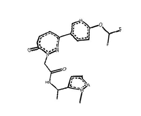 CC(NC(=O)Cn1nc(-c2ccc(OC(F)F)nc2)ccc1=O)c1ccnn1C